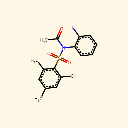 CC(=O)N(c1ccccc1I)S(=O)(=O)c1c(C)cc(C)cc1C